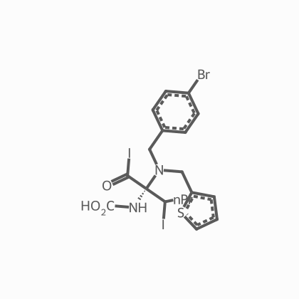 CCCC(I)[C@@](NC(=O)O)(C(=O)I)N(Cc1ccc(Br)cc1)Cc1cccs1